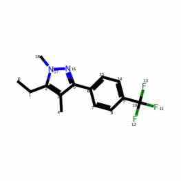 CCc1c(C)c(-c2ccc(C(F)(F)F)cc2)nn1C